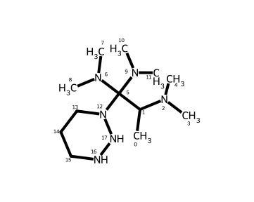 CC(N(C)C)C(N(C)C)(N(C)C)N1CCCNN1